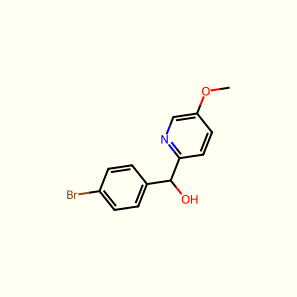 COc1ccc(C(O)c2ccc(Br)cc2)nc1